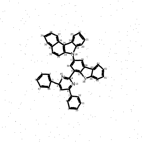 c1ccc(-c2cc(-c3ccccc3)nc(-c3cc(-n4c5ccccc5c5c6ccccc6ccc54)cc4c3sc3ccccc34)n2)cc1